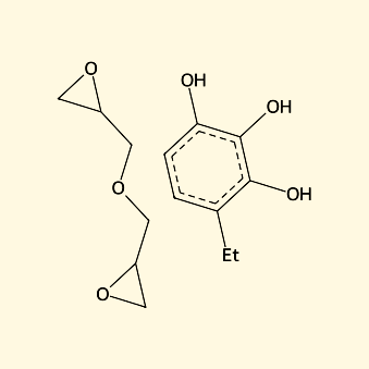 C(OCC1CO1)C1CO1.CCc1ccc(O)c(O)c1O